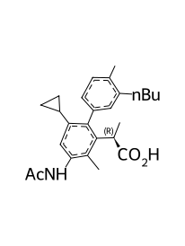 CCCCc1cc(-c2c(C3CC3)cc(NC(C)=O)c(C)c2[C@@H](C)C(=O)O)ccc1C